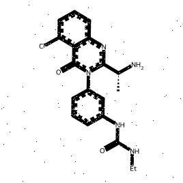 CCNC(=O)Nc1cccc(-n2c([C@@H](C)N)nc3cccc(Cl)c3c2=O)c1